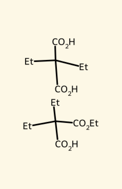 CCC(CC)(C(=O)O)C(=O)O.CCOC(=O)C(CC)(CC)C(=O)O